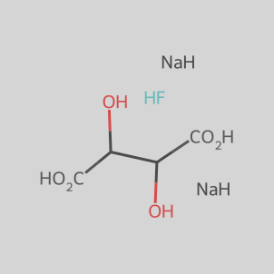 F.O=C(O)C(O)C(O)C(=O)O.[NaH].[NaH]